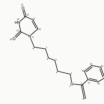 C=C(OCCCCCCn1ccc(=O)[nH]c1=O)c1ccccc1